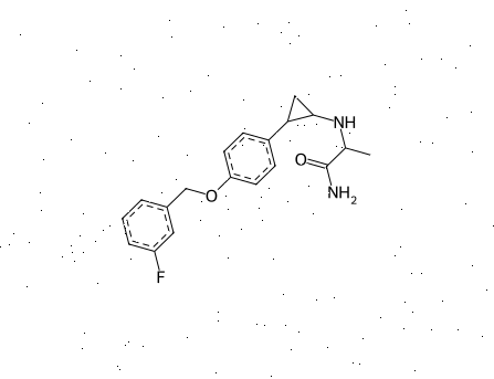 CC(NC1CC1c1ccc(OCc2cccc(F)c2)cc1)C(N)=O